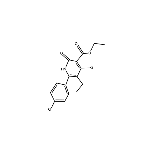 CCOC(=O)c1c(S)c(CC)c(-c2ccc(Cl)cc2)[nH]c1=O